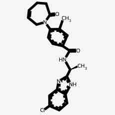 Cc1cc(C(=O)N[C@@H](C)c2nc3cc(Cl)ccc3[nH]2)ccc1N1CC=CCCC1=O